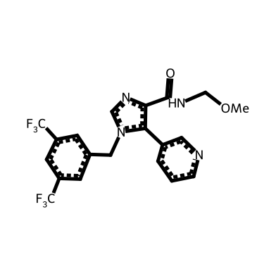 COCNC(=O)c1ncn(Cc2cc(C(F)(F)F)cc(C(F)(F)F)c2)c1-c1cccnc1